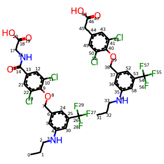 CCCNc1cc(COc2c(Cl)cc(C(=O)NCC(=O)O)cc2Cl)cc(C(F)(F)F)c1.CCCNc1cc(COc2c(Cl)cc(CC(=O)O)cc2Cl)cc(C(F)(F)F)c1